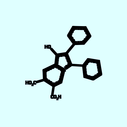 O=C(O)c1cc2c(O)c(-c3ccccc3)c(-c3ccccc3)n2cc1C(=O)O